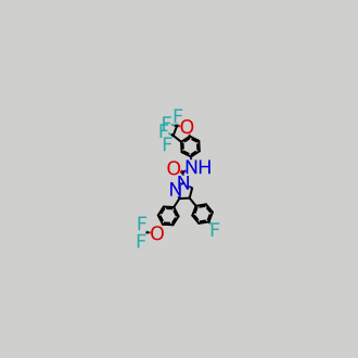 O=C(Nc1ccc2c(c1)C(F)(F)C(F)(F)O2)N1CC(c2ccc(F)cc2)C(c2ccc(OC(F)F)cc2)=N1